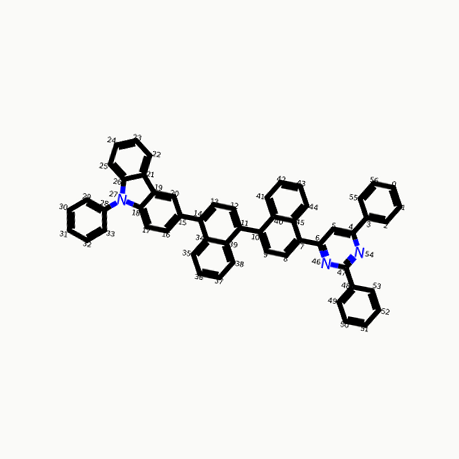 c1ccc(-c2cc(-c3ccc(-c4ccc(-c5ccc6c(c5)c5ccccc5n6-c5ccccc5)c5ccccc45)c4ccccc34)nc(-c3ccccc3)n2)cc1